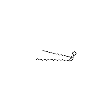 CCCCCCCCCCCCCCCCCCCN1C=CN(c2ccccc2)C1CCCCCCCCCCCCCCCC